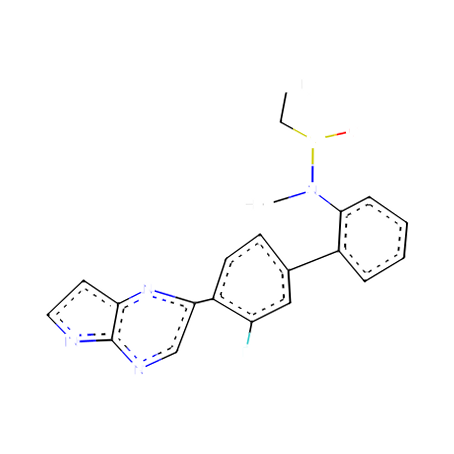 CC[S+]([O-])N(C)c1ccccc1-c1ccc(-c2cnc3[nH]ccc3n2)c(F)c1